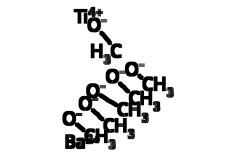 C[O-].C[O-].C[O-].C[O-].C[O-].C[O-].[Ba+2].[Ti+4]